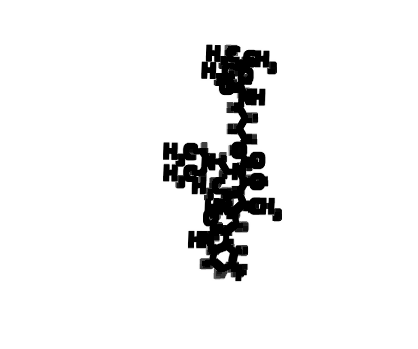 CCN(CC)CCN(C(=O)OCCCCNC(=O)OC(C)(C)C)C(=O)c1c(C)[nH]c(/C=C2\C(=O)Nc3ccc(F)cc32)c1C